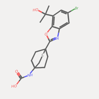 CC(C)(O)c1cc(Br)cc2nc(C34CCC(NC(=O)O)(CC3)CC4)oc12